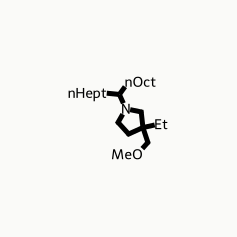 CCCCCCCCC(CCCCCCC)N1CCC(CC)(COC)C1